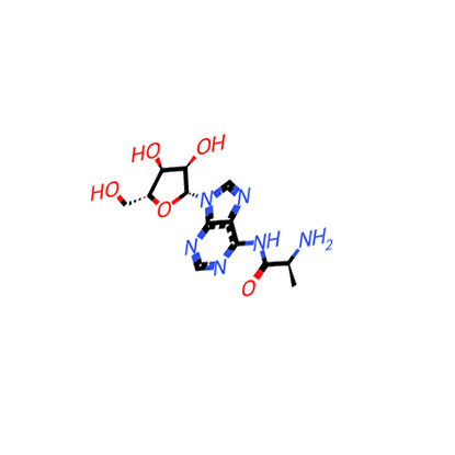 C[C@H](N)C(=O)Nc1ncnc2c1ncn2[C@@H]1O[C@H](CO)[C@@H](O)[C@H]1O